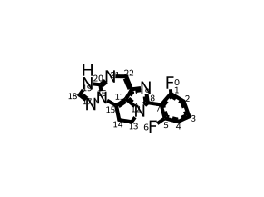 Fc1cccc(F)c1-c1nc2c3n1CCC=3N1N=CNC1=NC=2